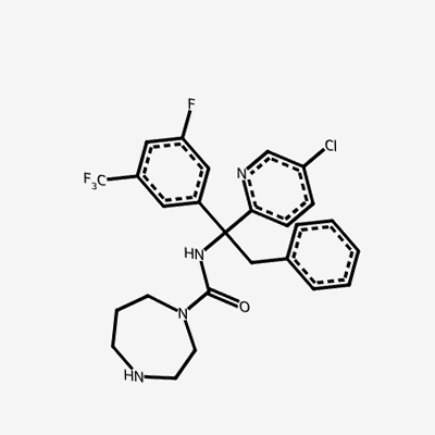 O=C(NC(Cc1ccccc1)(c1cc(F)cc(C(F)(F)F)c1)c1ccc(Cl)cn1)N1CCCNCC1